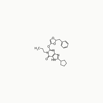 CCCn1c(OC2=COC(Cc3ccccc3)O2)nc2nc(C3CCCC3)[nH]c2c1=O